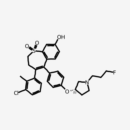 Cc1c(Cl)cccc1C1=C(c2ccc(O[C@H]3CCN(CCCF)C3)cc2)c2ccc(O)cc2S(=O)(=O)CC1